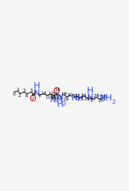 CCCCCCC(=O)NCCCCC(N)C(=O)NCCCNCCCCNCCCN